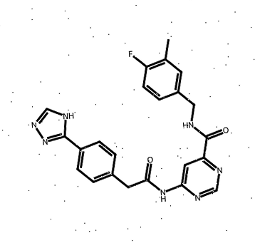 Cc1cc(CNC(=O)c2cc(NC(=O)Cc3ccc(-c4nnc[nH]4)cc3)ncn2)ccc1F